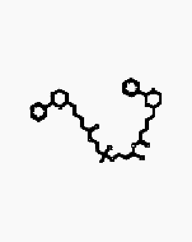 CC/C(=C/COC(C)(CC)CCOC(=O)CCCCC1CCSC(c2ccccc2)S1)OC(=O)CCCCC1CCSC(c2ccccc2)S1